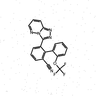 N#Cc1cccc(-c2nnc3cccnn23)c1-c1ccccc1OC(F)(F)F